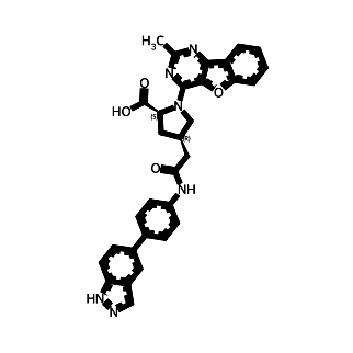 Cc1nc(N2C[C@@H](CC(=O)Nc3ccc(-c4ccc5[nH]ncc5c4)cc3)C[C@H]2C(=O)O)c2oc3ccccc3c2n1